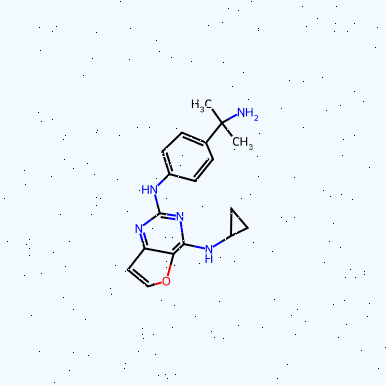 CC(C)(N)c1ccc(Nc2nc(NC3CC3)c3occc3n2)cc1